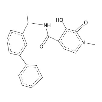 CC(NC(=O)c1ccn(C)c(=O)c1O)c1cccc(-c2ccccc2)c1